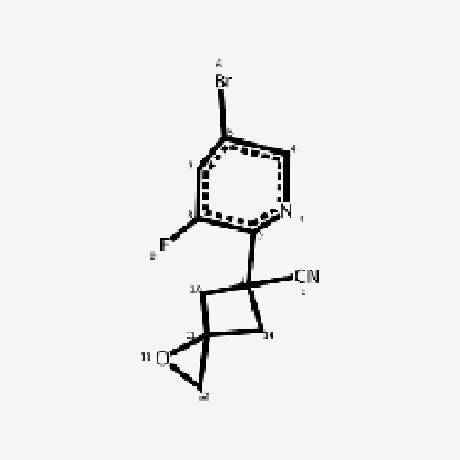 N#CC1(c2ncc(Br)cc2F)CC2(CO2)C1